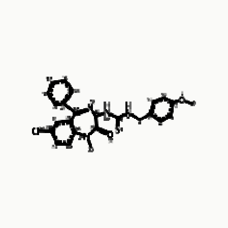 COc1ccc(CNC(=S)NC2N=C(c3ccccc3)c3cc(Cl)ccc3N(C)C2=O)cc1